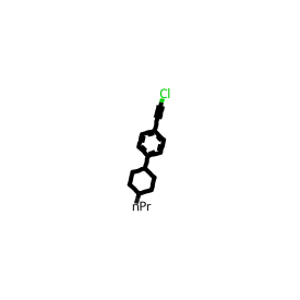 CCCC1CCC(c2ccc(C#CCl)cc2)CC1